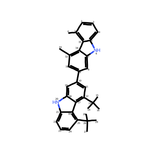 Cc1cccc2[nH]c3cc(-c4cc(C(C)(C)C)c5c(c4)[nH]c4cccc(C(C)(C)C)c45)cc(C)c3c12